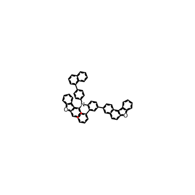 c1ccc(-c2cc(-c3ccc4c(ccc5oc6ccccc6c54)c3)ccc2N(c2ccc(-c3cccc4ccccc34)cc2)c2cccc3oc4ccccc4c23)cc1